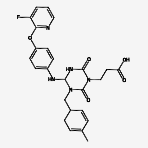 CC1=CCC(CN2C(=O)N(CCC(=O)O)C(=O)NC2Nc2ccc(Oc3ncccc3F)cc2)C=C1